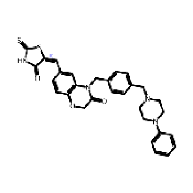 O=C1NC(=S)S/C1=C/c1ccc2c(c1)N(Cc1ccc(CN3CCN(c4ccccc4)CC3)cc1)C(=O)CO2